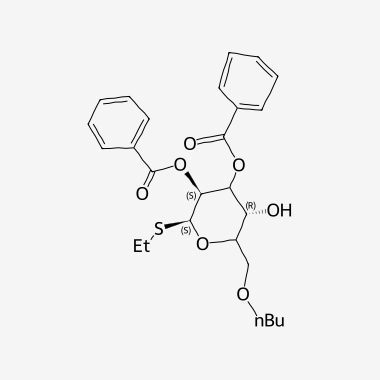 CCCCOCC1O[C@@H](SCC)[C@@H](OC(=O)c2ccccc2)C(OC(=O)c2ccccc2)[C@@H]1O